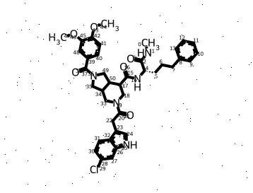 CNC(=O)[C@H](CCCc1ccccc1)NC(=O)C1CN(C(=O)Cc2c[nH]c3cc(Cl)ccc23)CC2CN(C(=O)c3ccc(OC)c(OC)c3)CC21